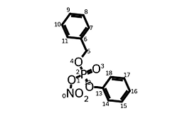 O=[N+]([O-])OP(=O)(OCc1ccccc1)Oc1ccccc1